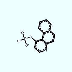 [O-][I+3]([O-])([O-])Oc1ccnc2ccc3ncccc3c12